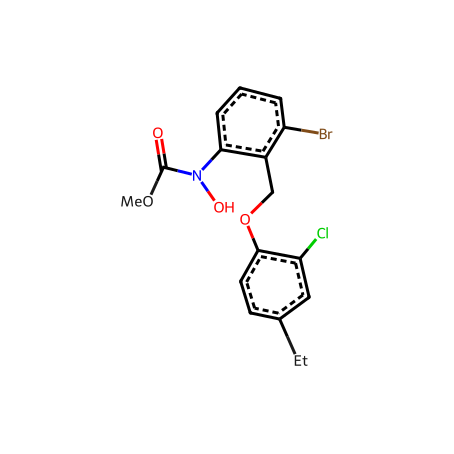 CCc1ccc(OCc2c(Br)cccc2N(O)C(=O)OC)c(Cl)c1